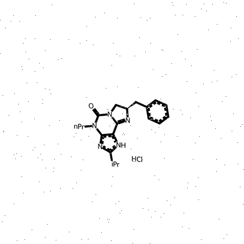 CCCN1C(=O)N2C[C@@H](Cc3ccccc3)N=C2c2[nH]c(C(C)C)nc21.Cl